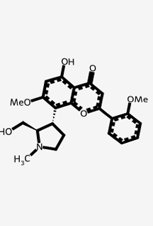 COc1ccccc1-c1cc(=O)c2c(O)cc(OC)c([C@@H]3CCN(C)[C@H]3CO)c2o1